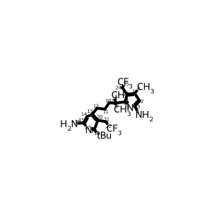 Cc1cc(N)nc(C(C)(C)CCCc2cc(N)nc(C(C)(C)C)c2CC(F)(F)F)c1CC(F)(F)F